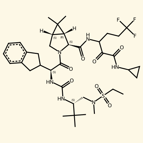 CCS(=O)(=O)N(C)C[C@@H](NC(=O)N[C@H](C(=O)N1C[C@H]2[C@@H]([C@H]1C(=O)NC(CCC(F)(F)F)C(=O)C(=O)NC1CC1)C2(C)C)C1Cc2ccccc2C1)C(C)(C)C